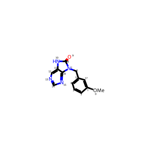 COc1cccc(Cn2c(=O)[nH]c3cncnc32)c1